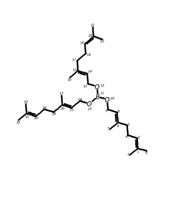 CC(C)=CCC/C(C)=C/COB(OC/C=C(\C)CCC=C(C)C)OC/C=C(\C)CCC=C(C)C